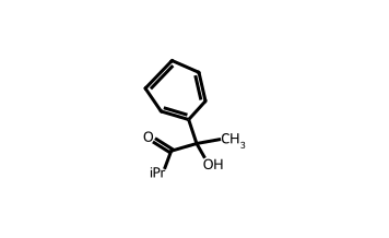 CC(C)C(=O)C(C)(O)c1ccccc1